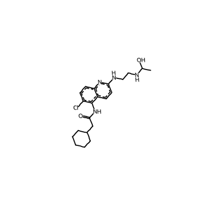 CC(O)NCCNc1ccc2c(NC(=O)CC3CCCCC3)c(Cl)ccc2n1